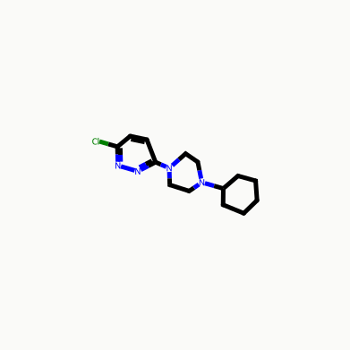 Clc1ccc(N2CCN(C3CCCCC3)CC2)nn1